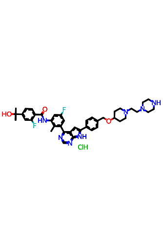 Cc1c(NC(=O)c2ccc(C(C)(C)O)cc2F)cc(F)cc1-c1ncnc2[nH]c(-c3ccc(COC4CCN(CCN5CCNCC5)CC4)cc3)cc12.Cl